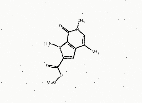 COOC(=O)c1cc2c(C)cn(C)c(=O)c2n1P